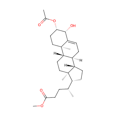 COC(=O)CC[C@@H](C)[C@H]1CC[C@H]2[C@@H]3CC=C4[C@@H](O)[C@@H](OC(C)=O)CC[C@]4(C)[C@H]3CC[C@]12C